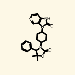 CC1(C)OC(=O)N(C2CCC(n3c(=O)[nH]c4ccncc43)CC2)C1c1ccccc1